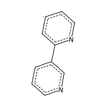 [c]1ccnc(-c2cccnc2)c1